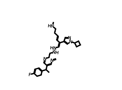 C=N/C=C(\C=N/CCNN/C=C(\C=C\CCNC)c1cnn(C2CCC2)c1)C(C)C1=CC=C(F)CC1